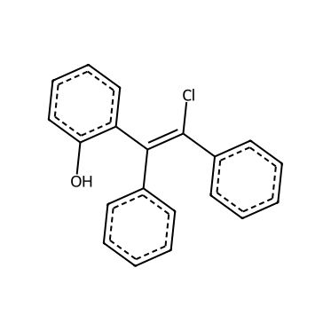 Oc1ccccc1C(=C(Cl)c1ccccc1)c1ccccc1